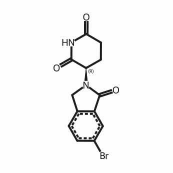 O=C1CC[C@@H](N2Cc3ccc(Br)cc3C2=O)C(=O)N1